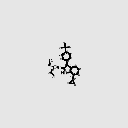 CC(C)(C)c1ccc(C2C(=C=O)Nc3c(C4CC4)cccc32)cc1.CCOC=O